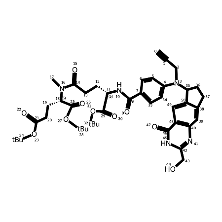 C#CCN(c1ccc(C(=O)N[C@@H](CCC(=O)N(C)[C@@H](CCC(=O)OC(C)(C)C)C(=O)OC(C)(C)C)C(=O)OC(C)(C)C)cc1)C1CCc2cc3nc(CO)[nH]c(=O)c3cc21